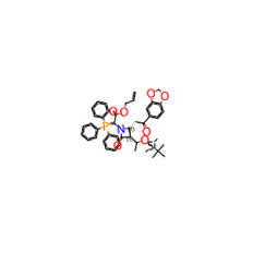 C=CCOC(=O)C(N1C(=O)[C@H](C(C)O[Si](C)(C)C(C)(C)C)[C@H]1CC(=O)c1ccc2c(c1)OCO2)=P(c1ccccc1)(c1ccccc1)c1ccccc1